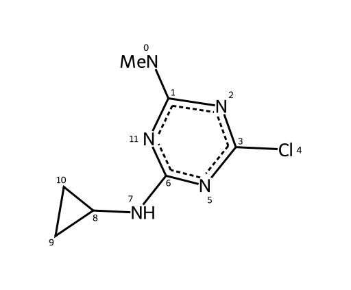 CNc1nc(Cl)nc(NC2CC2)n1